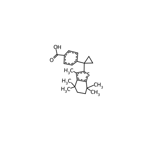 Cc1c(C2(c3ccc(C(=O)O)cc3)CC2)sc2c1C(C)(C)CCC2(C)C